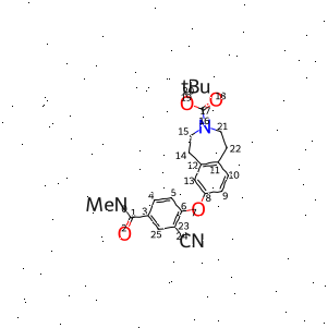 CNC(=O)c1ccc(Oc2ccc3c(c2)CCN(C(=O)OC(C)(C)C)CC3)c(C#N)c1